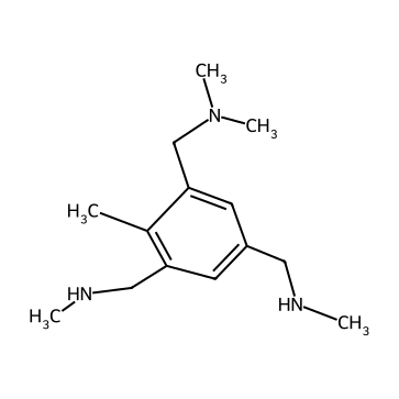 CNCc1cc(CNC)c(C)c(CN(C)C)c1